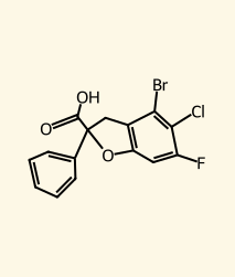 O=C(O)C1(c2ccccc2)Cc2c(cc(F)c(Cl)c2Br)O1